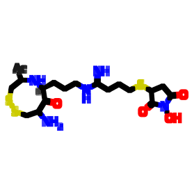 CC(=O)C1CSSCC(N)C(=O)[C@H](CCCNC(=N)CCCSC2CC(=O)N(O)C2=O)N1